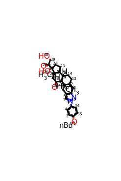 CCCCOc1ccc(-n2cc3c(n2)C=C2CC[C@@H]4[C@H](C(=O)C[C@@]5(C)[C@H]4CC[C@]5(O)C(=O)CO)[C@@]2(C)C3)cc1